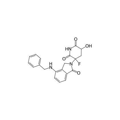 O=C1NC(=O)C(F)(N2Cc3c(NCc4ccccc4)cccc3C2=O)CC1O